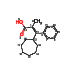 CC(C(=O)O)=C(c1ccccc1)C1CCCCCC1